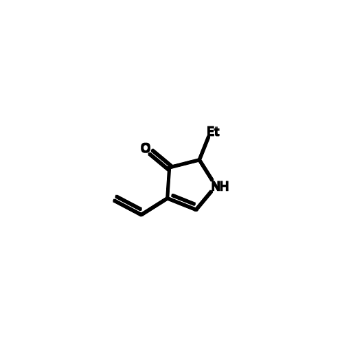 C=CC1=CNC(CC)C1=O